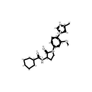 COc1cc(N2CCC(NC(=O)C3CCCCC3)C2=O)ccc1-n1cnc(C)c1